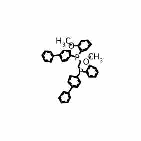 COc1ccccc1P(CCP(c1ccc(-c2ccccc2)cc1)c1ccccc1OC)c1ccc(-c2ccccc2)cc1